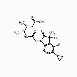 C[C@@H](CC(=O)O)[C@@H](C)NC(=O)CN1C(=O)C(C)(C)c2c1ccc(C1CC1)c2F